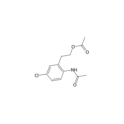 CC(=O)Nc1ccc(Cl)cc1CCOC(C)=O